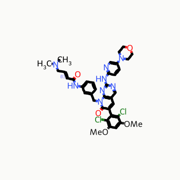 COc1cc(OC)c(Cl)c(-c2cc3cnc(Nc4ccc(N5CCOCC5)cn4)nc3n(Cc3cccc(NC(=O)/C=C/CN(C)C)c3)c2=O)c1Cl